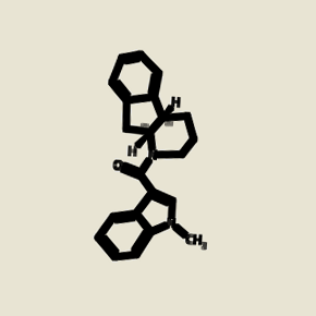 Cn1cc(C(=O)N2CCC[C@H]3c4ccccc4C[C@H]32)c2ccccc21